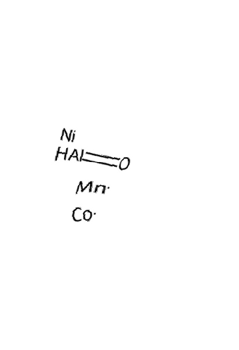 [Co].[Mn].[Ni].[O]=[AlH]